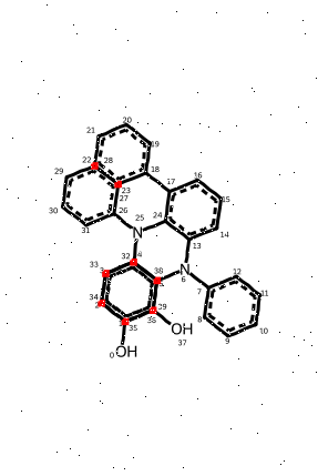 Oc1cccc(N(c2ccccc2)c2cccc(-c3ccccc3)c2N(c2ccccc2)c2cccc(O)c2)c1